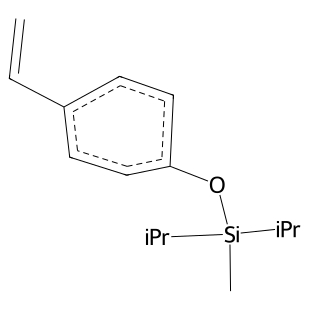 C=Cc1ccc(O[Si](C)(C(C)C)C(C)C)cc1